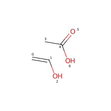 C=CO.CC(=O)O